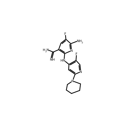 N=C(N)c1cc(F)c(N)nc1Nc1cc(N2CCCCC2)ncc1F